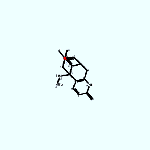 C=C1C=CC2=C(CC3C=C(C)CC2(NCCCC)/C3=C/C)N1